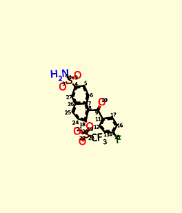 NS(=O)(=O)c1ccc2c(C(=O)c3ccc(F)cc3)c(OS(=O)(=O)C(F)(F)F)ccc2c1